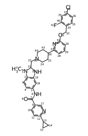 CN1c2ccc(NC(=O)c3ccc(C4CC4)nc3)cc2NC1CN1CCC(c2cccc(OCc3ccc(Cl)cc3F)n2)CC1